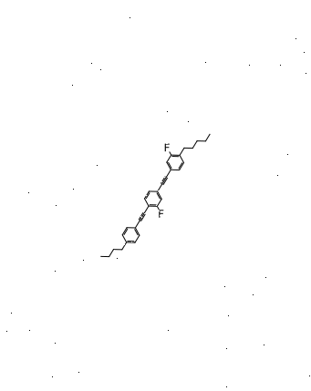 CCCCCc1ccc(C#Cc2ccc(C#Cc3ccc(CCCC)cc3)c(F)c2)cc1F